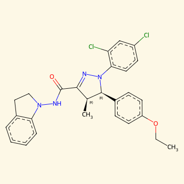 CCOc1ccc([C@H]2[C@@H](C)C(C(=O)NN3CCc4ccccc43)=NN2c2ccc(Cl)cc2Cl)cc1